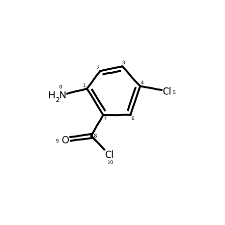 Nc1ccc(Cl)cc1C(=O)Cl